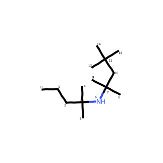 CCCC(C)(C)NC(C)(C)CC(C)(C)C